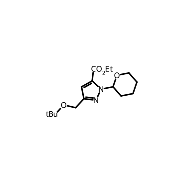 CCOC(=O)c1cc(COC(C)(C)C)nn1C1CCCCO1